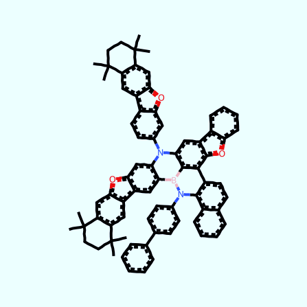 CC1(C)CCC(C)(C)c2cc3c(cc21)oc1cc(N2c4cc5oc6cc7c(cc6c5cc4B4c5c2cc2c(oc6ccccc62)c5-c2ccc5ccccc5c2N4c2ccc(-c4ccccc4)cc2)C(C)(C)CCC7(C)C)ccc13